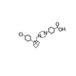 CC1(C)C2CC(CN3CCN(c4ccc(C(=O)O)cc4)CC3)=C(c3ccc(Cl)cc3)C1C2